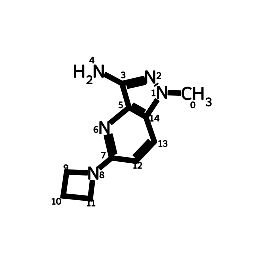 Cn1nc(N)c2nc(N3CCC3)ccc21